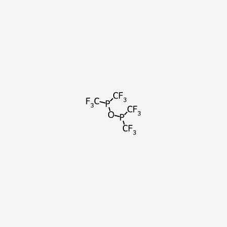 FC(F)(F)P(OP(C(F)(F)F)C(F)(F)F)C(F)(F)F